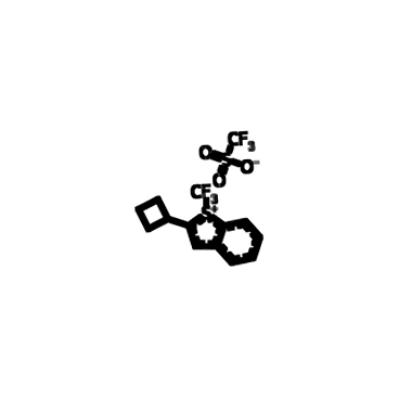 FC(F)(F)[s+]1c(C2CCC2)cc2ccccc21.O=S(=O)([O-])C(F)(F)F